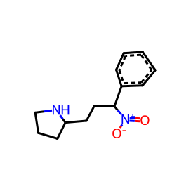 O=[N+]([O-])C(CCC1CCCN1)c1ccccc1